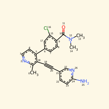 Cc1nccc(-c2ccc(C(=O)N(C)C)c(Cl)c2)c1C#Cc1ccc(N)nc1